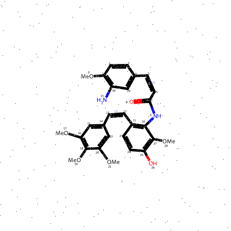 COc1ccc(/C=C\C(=O)Nc2c(/C=C\c3cc(OC)c(OC)c(OC)c3)ccc(O)c2OC)cc1N